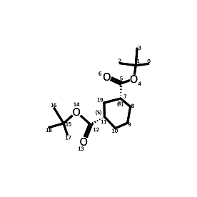 CC(C)(C)OC(=O)[C@@H]1CCC[C@H](C(=O)OC(C)(C)C)C1